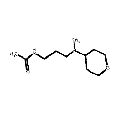 CC(=O)NCCCN(C)C1CCOCC1